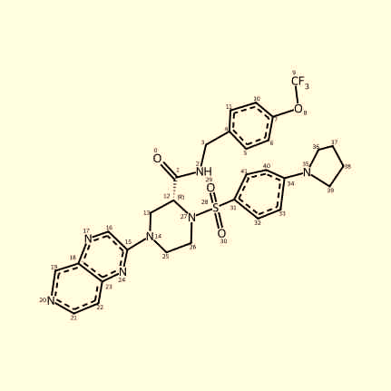 O=C(NCc1ccc(OC(F)(F)F)cc1)[C@H]1CN(c2cnc3cnccc3n2)CCN1S(=O)(=O)c1ccc(N2CCCC2)cc1